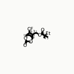 CCC(C)(C)C(=O)OCC1C2CC(OC(=O)O2)C1C(F)(F)F